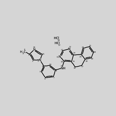 Cc1cn(-c2cccc(Nc3ncnc4c3CCc3ccccc3-4)c2)cn1.Cl.Cl